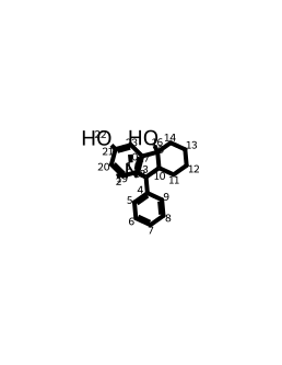 CN(C)C(c1ccccc1)C1CCCCC1(O)c1cccc(O)c1